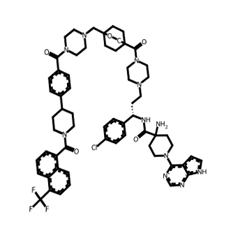 NC1(C(=O)N[C@@H](CCN2CCN(C(=O)C34CCC(CN5CCN(C(=O)c6ccc(C7CCN(C(=O)c8cccc9c(C(F)(F)F)cccc89)CC7)cc6)CC5)(CC3)OC4)CC2)c2ccc(Cl)cc2)CCN(c2ncnc3[nH]ccc23)CC1